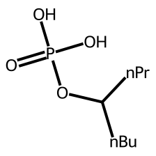 CCCCC(CCC)OP(=O)(O)O